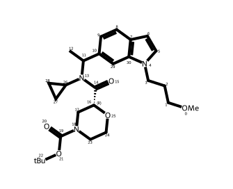 COCCCn1ccc2ccc(C(C)N(C(=O)[C@H]3CN(C(=O)OC(C)(C)C)CCO3)C3CC3)cc21